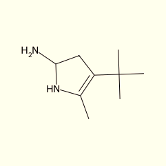 CC1=C(C(C)(C)C)CC(N)N1